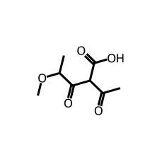 COC(C)C(=O)C(C(C)=O)C(=O)O